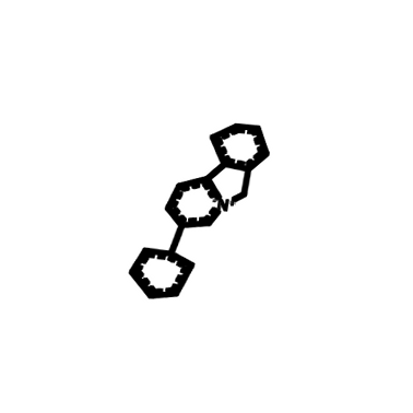 c1ccc(-c2ccc3[n+](c2)Cc2ccccc2-3)cc1